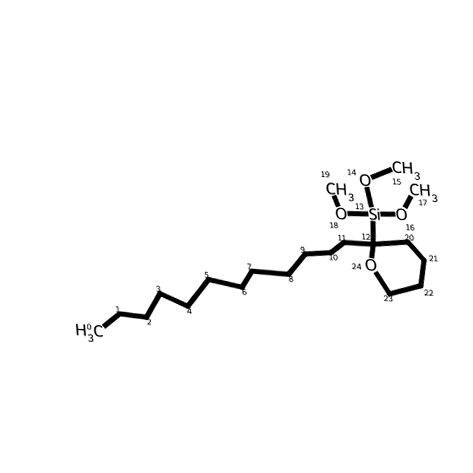 CCCCCCCCCCCCC1([Si](OC)(OC)OC)CCCCO1